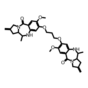 C=C1CC2C(C)Nc3cc(OCCCOc4cc5c(cc4OC)C(=O)N4CC(=C)CC4C(C)N5)c(OC)cc3C(=O)N2C1